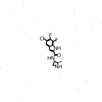 C[C@H]1NC[C@H]1NC(=O)c1cc2cc(Cl)c(F)c(F)c2[nH]1